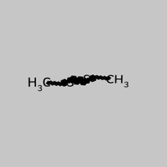 CCCCCCCCc1ccc(-c2cc3ccc4c5ccc6c(ccc7cc(-c8ccc(CCCCCCCC)cc8)sc76)c5ccc4c3s2)cc1